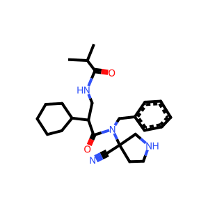 CC(C)C(=O)NCC(C(=O)N(Cc1ccccc1)C1(C#N)CCNC1)C1CCCCC1